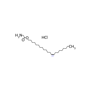 CCCCCCCC/C=C\CCCCCCCCCCCCOC(=O)CN.Cl